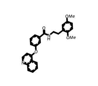 COc1ccc(OC)c(CCNC(=O)c2cccc(Oc3ccnc4ccccc34)c2)c1